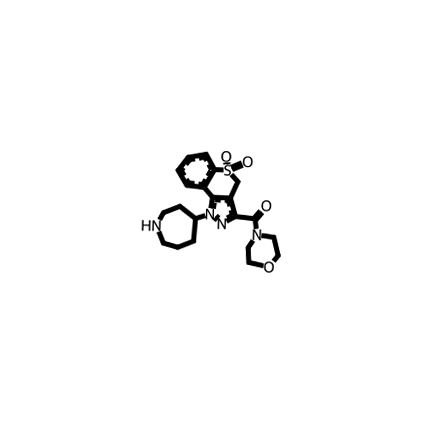 O=C(c1nn(C2CCCNCC2)c2c1CS(=O)(=O)c1ccccc1-2)N1CCOCC1